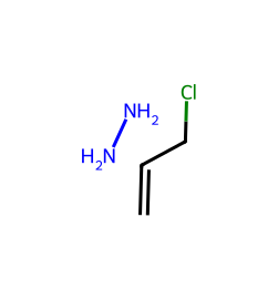 C=CCCl.NN